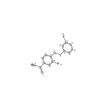 CC(C)(C)C(=O)c1ccc(OCc2cccc(F)c2)c(F)c1